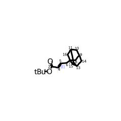 CC(C)(C)OC(=O)/C=C/CC12CC3CC(CC(C3)C1)C2